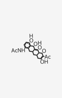 CC(=O)Nc1ccc(O)c2c1CC1CC3CC(O)=C(C(C)=O)C(=O)C3C(O)=C1C2=O